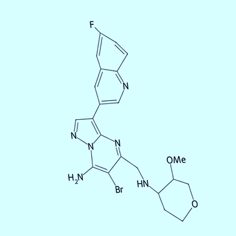 COC1COCCC1NCc1nc2c(-c3cnc4ccc(F)cc4c3)cnn2c(N)c1Br